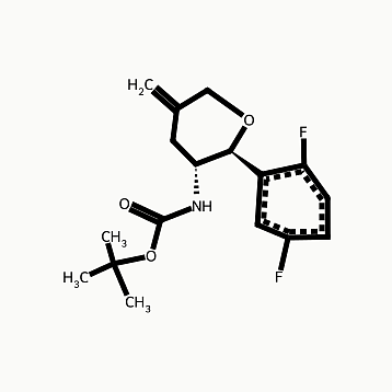 C=C1CO[C@@H](c2cc(F)ccc2F)[C@H](NC(=O)OC(C)(C)C)C1